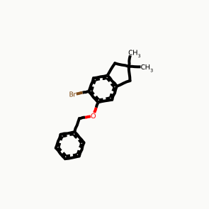 CC1(C)Cc2cc(Br)c(OCc3ccccc3)cc2C1